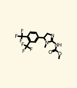 COC(=O)NC1=NCC(c2ccc(C(F)(F)F)c(C(F)(F)F)c2)N1C